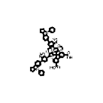 O=C(O)c1ccc2c(c1)-c1cc(C(=O)O)ccc1C2(c1sc(-c2ccc(-c3ccc4c(c3)N(c3ccccc3)C3CCCC43)c3nsnc23)c2c1OCCO2)c1sc(-c2ccc(-c3ccc4c(c3)N(c3ccccc3)C3CCCC43)c3nsnc23)c2c1OCCO2